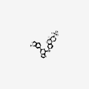 CCS(=O)(=O)N1CCN2c3ccc(Nc4nc(-c5ccc6cn[nH]c6c5)cn5ccnc45)cc3OC[C@H]2C1